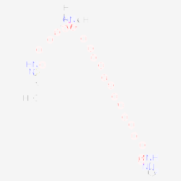 CCCC[C@H]1CCc2nc(NC(=O)CCC(=O)CCCOCCOCC(=O)C[C@@H](C)C(=O)N[C@@H](C)C(=O)CCCOCCOCCOCCOCCOCCOCCOCCOCCOCCOCCOCCOCCC(=O)N[C@@H](Cc3ccccc3)C(N)=O)sc2C1